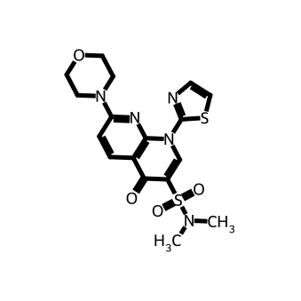 CN(C)S(=O)(=O)c1cn(-c2nccs2)c2nc(N3CCOCC3)ccc2c1=O